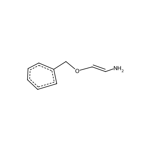 NC=COCc1ccccc1